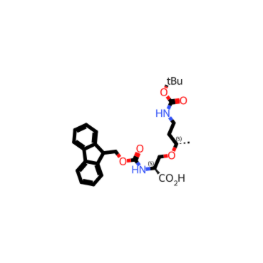 C[C@@H](CCNC(=O)OC(C)(C)C)OC[C@H](NC(=O)OCC1c2ccccc2-c2ccccc21)C(=O)O